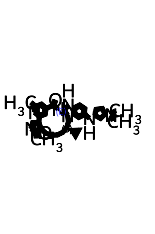 Cc1cc2cc(n1)-c1cnn(C)c1OCCC[C@@H](C1CC1)CN1/C(=N/C2=O)Nc2ccc(NC3CCC(N(C)C)C3)cc21